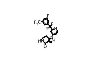 O=C1NCCc2c1cnn2-c1ccnc(C(F)(F)c2cc(F)cc(C(F)(F)F)c2)c1